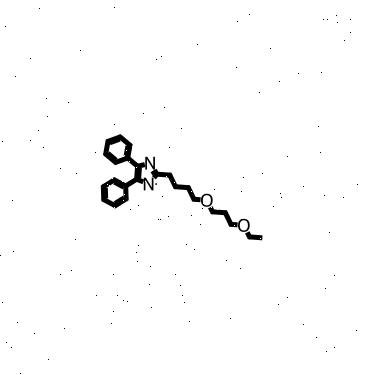 CCOCCCOCCCCC1=NC(c2ccccc2)=C(c2ccccc2)[N]1